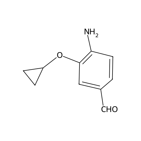 Nc1ccc(C=O)cc1OC1CC1